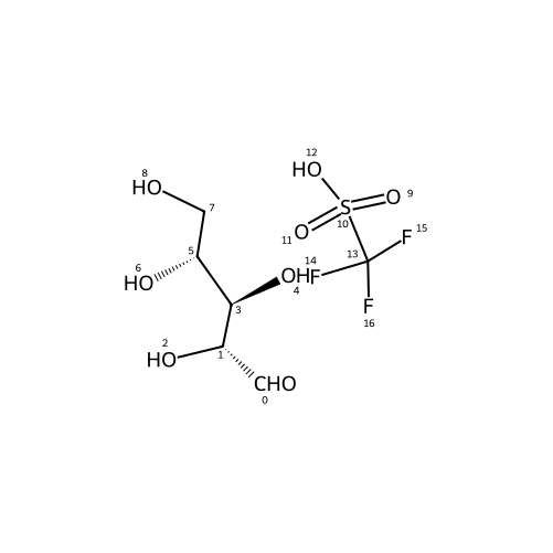 O=C[C@H](O)[C@H](O)[C@H](O)CO.O=S(=O)(O)C(F)(F)F